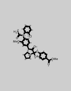 COC(=O)c1ccc(OC(OC(C)=O)(C(=O)Cc2ccc(N(C(N)=O)c3ccccc3Cl)c(OC)c2)N2CCCC2)cc1